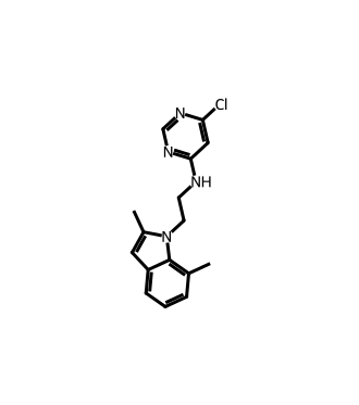 Cc1cccc2cc(C)n(CCNc3cc(Cl)ncn3)c12